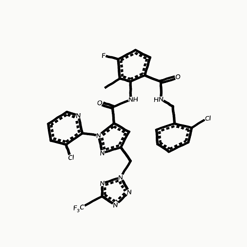 Cc1c(F)ccc(C(=O)NCc2ccccc2Cl)c1NC(=O)c1cc(Cn2nnc(C(F)(F)F)n2)nn1-c1ncccc1Cl